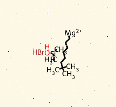 Br.CC(C)(C)CCCCC[CH2][Mg+2].C[SiH](C)O